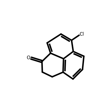 O=C1CCc2cccc3c(Cl)ccc1c23